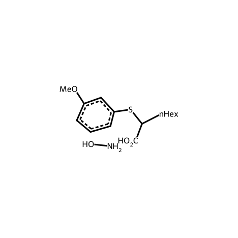 CCCCCCC(Sc1cccc(OC)c1)C(=O)O.NO